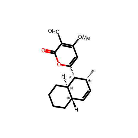 COc1cc([C@H]2[C@@H]3CCCC[C@H]3C=C[C@H]2C)oc(=O)c1C=O